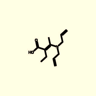 C=CCN(CC=C)C(C)=C(CC)C(=O)O